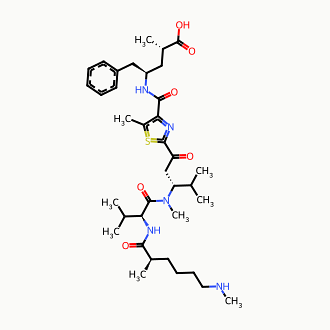 CNCCCC[C@@H](C)C(=O)N[C@H](C(=O)N(C)[C@H](CC(=O)c1nc(C(=O)N[C@@H](Cc2ccccc2)C[C@H](C)C(=O)O)c(C)s1)C(C)C)C(C)C